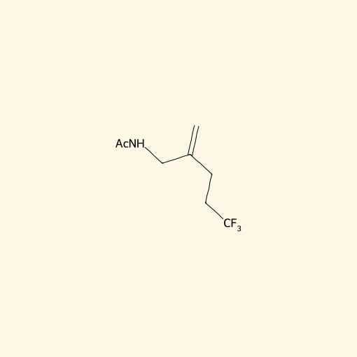 C=C(CCC(F)(F)F)CNC(C)=O